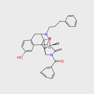 C=C1[C@H]2OC34CCC(C2C32CCN(CCCc3ccccc3)C4Cc3ccc(O)cc32)N1C(=O)c1ccccc1